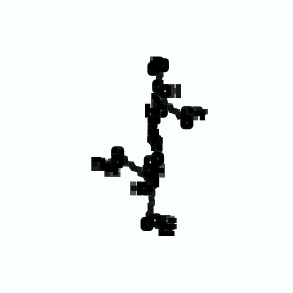 CCC(CC)COC(=O)CCCCCCC(O)CN(CCCC(=O)OCCN1CCN(CCSSCCCN(CC(O)CCCCC(=O)OC(C)C)CC(O)CCCCC(=O)OC(C)C)CC1)CC(O)CCCCCCC(=O)OCC(CC)CC